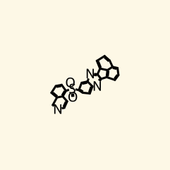 O=S(=O)(c1ccc2nc3c(nc2c1)-c1cccc2cccc-3c12)c1cccc2cnccc12